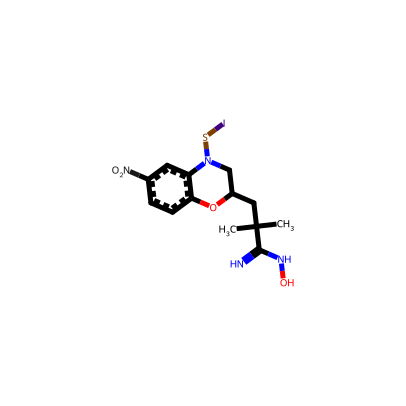 CC(C)(CC1CN(SI)c2cc([N+](=O)[O-])ccc2O1)C(=N)NO